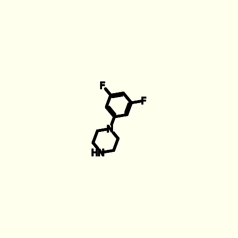 Fc1cc(F)cc(N2CCNCC2)c1